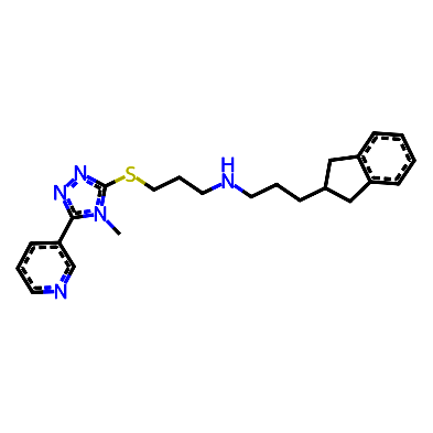 Cn1c(SCCCNCCCC2Cc3ccccc3C2)nnc1-c1cccnc1